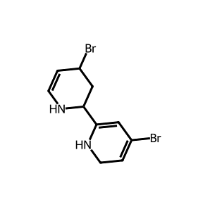 BrC1=CCNC(C2CC(Br)C=CN2)=C1